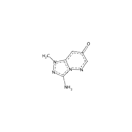 Cn1nc(N)n2ncc(=O)cc12